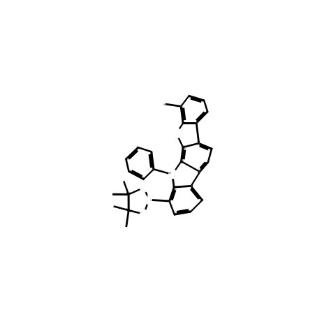 CC1(C)OB(c2cccc3c4ccc5c6cccc(Cl)c6sc5c4n(-c4ccccc4)c23)OC1(C)C